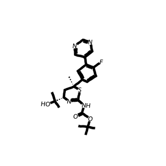 CC(C)(C)OC(=O)NC1=N[C@H](C(C)(C)O)C[C@@](C)(c2ccc(F)c(-c3cncnc3)c2)S1